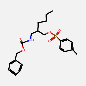 CCCCC(CNC(=O)OCc1ccccc1)COS(=O)(=O)c1ccc(C)cc1